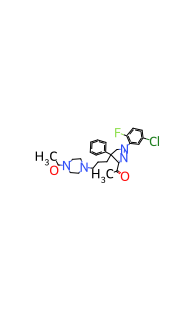 CC(=O)C1=NN(c2cc(Cl)ccc2F)CC1(CCCN1CCN(C(C)=O)CC1)c1ccccc1